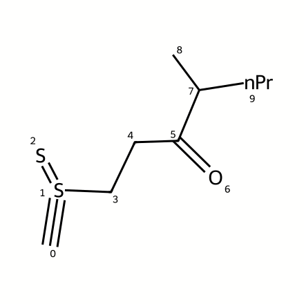 C#S(=S)CCC(=O)C(C)CCC